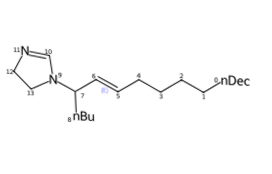 CCCCCCCCCCCCCC/C=C/C(CCCC)N1C=NCC1